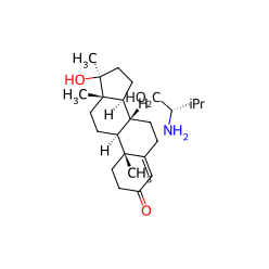 CC(C)[C@H](N)C(=O)O.C[C@]12CCC(=O)C=C1CC[C@@H]1[C@@H]2CC[C@@]2(C)[C@H]1CC[C@]2(C)O